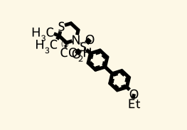 CCOc1ccc(-c2ccc(S(=O)(=O)N3CCSC(C)(C)[C@@H]3C(=O)O)cc2)cc1